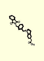 O=C(O)Cc1ccc2c(ccn2Cc2cccc(CN3C(=O)c4ccccc4C3=O)c2)c1